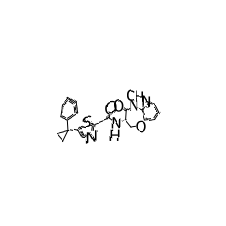 CN1C(=O)[C@@H](NC(=O)c2ncc(C3(c4ccccc4)CC3)s2)COc2cccnc21